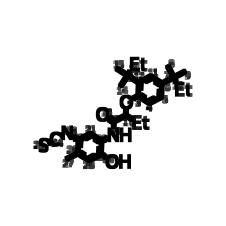 CCC(Oc1ccc(C(C)(C)CC)cc1C(C)(C)CC)C(=O)Nc1cc(N=C=S)c(C)cc1O